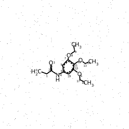 [CH2]CC(=O)Nc1cc(OCC)c(OCC)c(OCC)c1